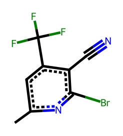 Cc1cc(C(F)(F)F)c(C#N)c(Br)n1